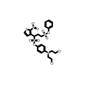 O=[N+]([O-])c1sccc1C(CCS(=O)(=O)Oc1ccccc1)S(=O)(=O)Oc1ccc(N(CCCl)CCCl)cc1